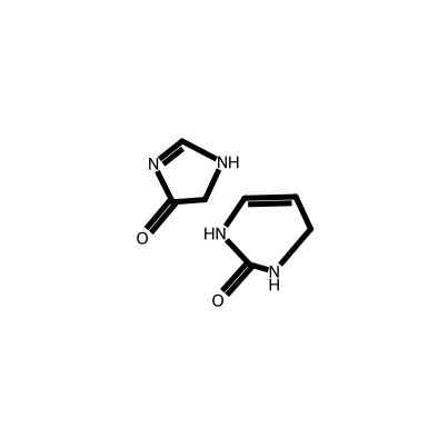 O=C1CNC=N1.O=C1NC=CCN1